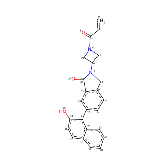 C=CC(=O)N1CC(N2Cc3ccc(-c4c(O)ccc5ccccc45)cc3C2=O)C1